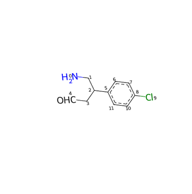 NCC(CC=O)c1ccc(Cl)cc1